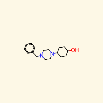 OC1CCC(N2CCN(Cc3ccccc3)CC2)CC1